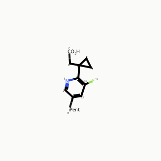 CCCC(C)c1cnc(C2(CC(=O)O)CC2)c(F)c1